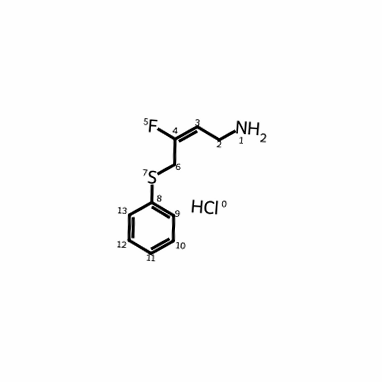 Cl.NC/C=C(/F)CSc1ccccc1